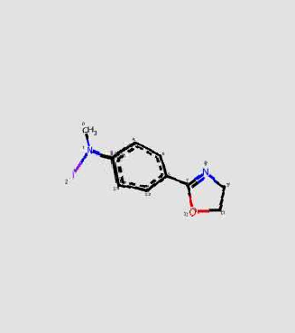 CN(I)c1ccc(C2=NCCO2)cc1